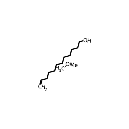 C=CCCCCCCCCCCO.COC